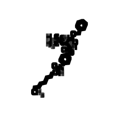 CCCCCCCCOC(=O)Nc1ccc(S(=O)(=O)N[C@H](CC(=O)OCc2ccccc2)C[N+](C)(C)C)cc1.[I-]